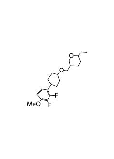 C=CC1CCC(COC2CCC(c3ccc(OC)c(F)c3F)CC2)CO1